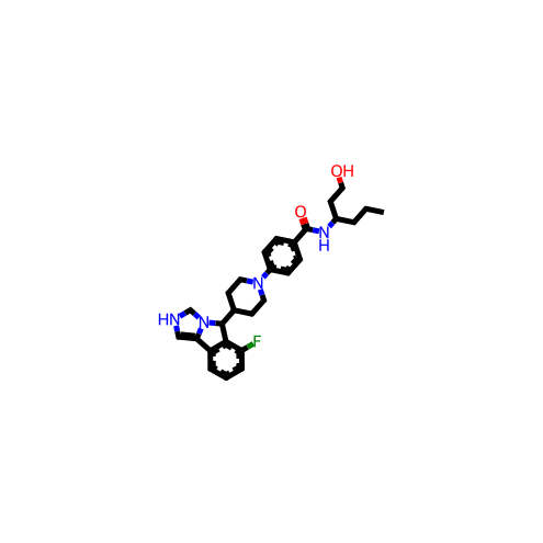 CCCC(CCO)NC(=O)c1ccc(N2CCC(C3c4c(F)cccc4C4=CNCN43)CC2)cc1